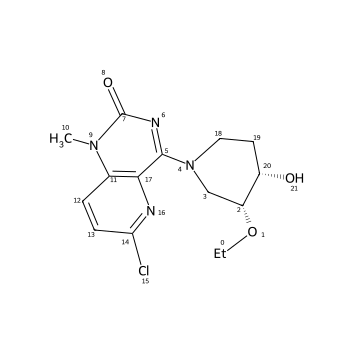 CCO[C@@H]1CN(c2nc(=O)n(C)c3ccc(Cl)nc23)CC[C@@H]1O